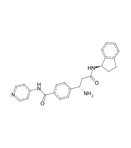 N[C@@H](CC(=O)N[C@@H]1CCc2ccccc21)c1ccc(C(=O)Nc2ccncc2)cc1